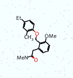 CCc1ccc(OCc2c(CC(=O)NC)cccc2OC)c(C)c1